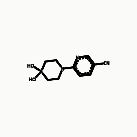 N#Cc1ccc(N2CCS(O)(O)CC2)nc1